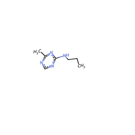 CCCNc1ncnc(C)n1